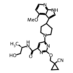 COc1ccnc2[nH]cc(C3CCN(c4cc(C(=O)N[C@H](C)CO)nc(OCC5(C#N)CC5)n4)CC3)c12